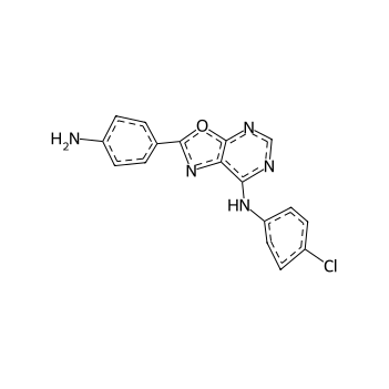 Nc1ccc(-c2nc3c(Nc4ccc(Cl)cc4)ncnc3o2)cc1